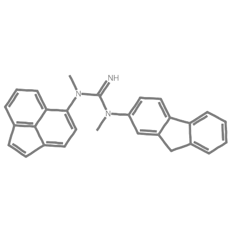 CN(C(=N)N(C)c1ccc2c3c(cccc13)C=C2)c1ccc2c(c1)Cc1ccccc1-2